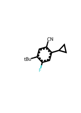 CC(C)(C)c1cc(C#N)c(C2CC2)cc1F